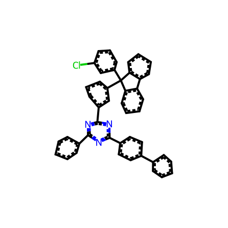 Clc1cccc(C2(c3cccc(-c4nc(-c5ccccc5)nc(-c5ccc(-c6ccccc6)cc5)n4)c3)c3ccccc3-c3ccccc32)c1